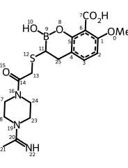 COc1ccc2c(c1C(=O)O)OB(O)C(SCC(=O)N1CCN(C(C)=N)CC1)C2